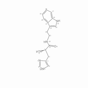 N[C@H](Cc1c[nH]cn1)C(=O)NCCc1c[nH]c2ccccc12